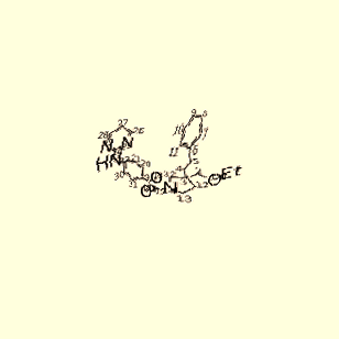 CCOCC1(CCc2ccccc2)CCN(CS(=O)(=O)c2ccc(Nc3ncccn3)cc2)C1